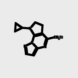 CCOC(=O)c1nc2ccnn2c2c1CCN2C1CC1